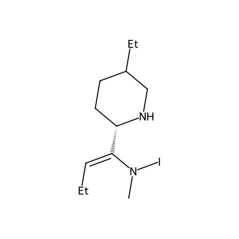 CCC=C([C@@H]1CCC(CC)CN1)N(C)I